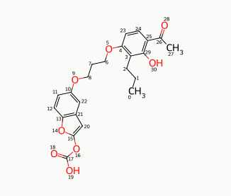 CCCc1c(OCCCOc2ccc3oc(OC(=O)O)cc3c2)ccc(C(C)=O)c1O